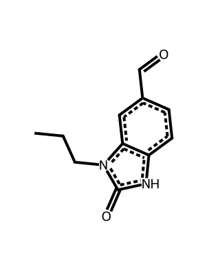 CCCn1c(=O)[nH]c2ccc(C=O)cc21